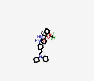 C[C@H](NC(=O)NC1CCC(CCN(C2CCCCC2)C2CCCCC2)CC1)C(OC(=O)C(F)(F)F)(c1ccccc1)c1ccccc1